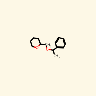 CC(O[SiH2]C1CCCCO1)c1ccccc1